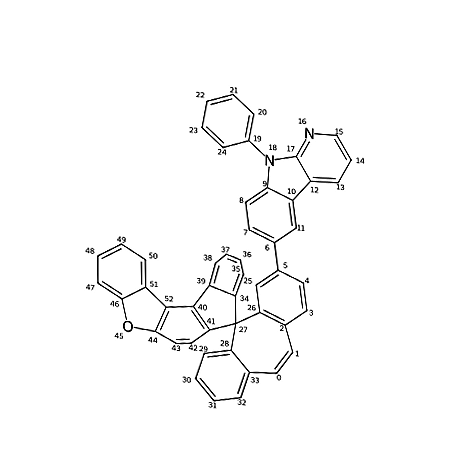 C1=Cc2ccc(-c3ccc4c(c3)c3cccnc3n4-c3ccccc3)cc2C2(c3ccccc31)c1ccccc1-c1c2ccc2oc3ccccc3c12